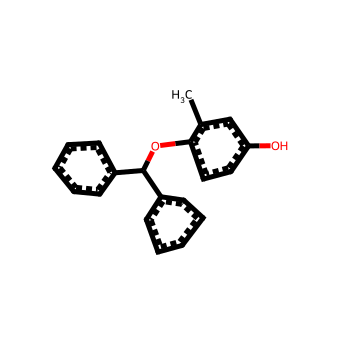 Cc1cc(O)ccc1OC(c1ccccc1)c1ccccc1